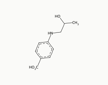 CC(O)CNc1ccc(C(=O)O)cc1